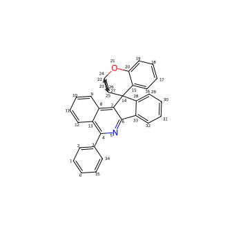 c1ccc(-c2nc3c(c4ccccc24)C2(c4ccccc4Oc4ccccc42)c2ccccc2-3)cc1